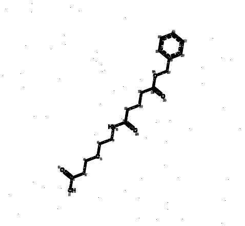 O=C(O)CCOCCNC(=O)CCCC(=O)OCc1ccccc1